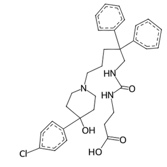 O=C(O)CCNC(=O)NCC(CCCN1CCC(O)(c2ccc(Cl)cc2)CC1)(c1ccccc1)c1ccccc1